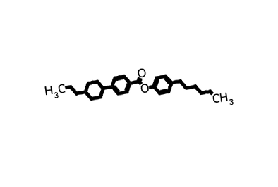 CCCCCCc1ccc(OC(=O)c2ccc(C3CCC(CCC)CC3)cc2)cc1